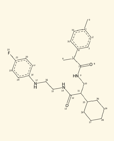 Cc1ccc(C(C)C(=O)NCC(C(=O)NCCNc2ccc(F)cc2)C2CCCCC2)cc1